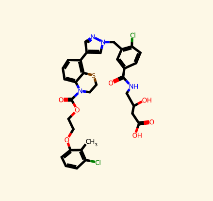 Cc1c(Cl)cccc1OCCOC(=O)N1CCSc2c(-c3cnn(Cc4cc(C(=O)NCC(O)CC(=O)O)ccc4Cl)c3)cccc21